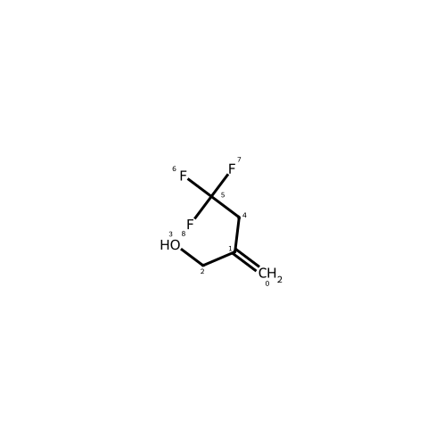 C=C(CO)CC(F)(F)F